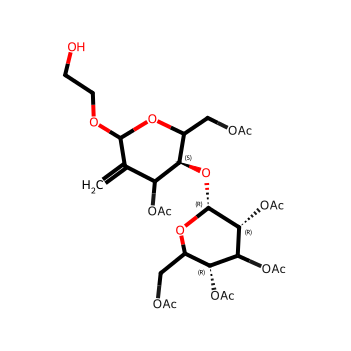 C=C1C(OCCO)OC(COC(C)=O)[C@@H](O[C@H]2OC(COC(C)=O)[C@@H](OC(C)=O)C(OC(C)=O)[C@H]2OC(C)=O)C1OC(C)=O